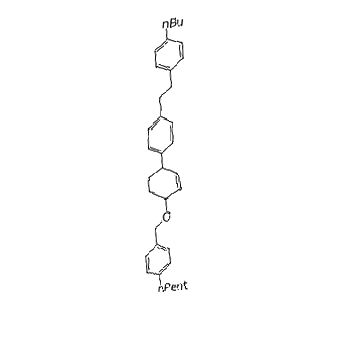 CCCCCc1ccc(COC2C=CC(c3ccc(CCc4ccc(CCCC)cc4)cc3)CC2)cc1